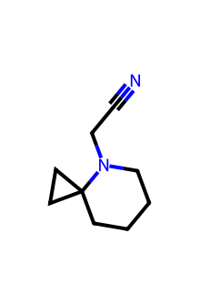 N#CCN1CCCCC12CC2